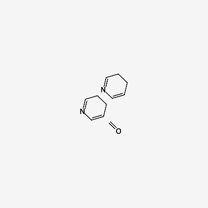 C1=CN=CCC1.C1=CN=CCC1.C=O